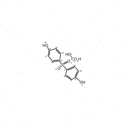 O=C(O)O.O=S(=O)(c1ccc(O)cc1)c1ccc(O)cc1